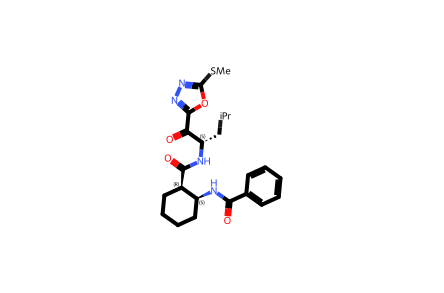 CSc1nnc(C(=O)[C@H](CC(C)C)NC(=O)[C@@H]2CCCC[C@@H]2NC(=O)c2ccccc2)o1